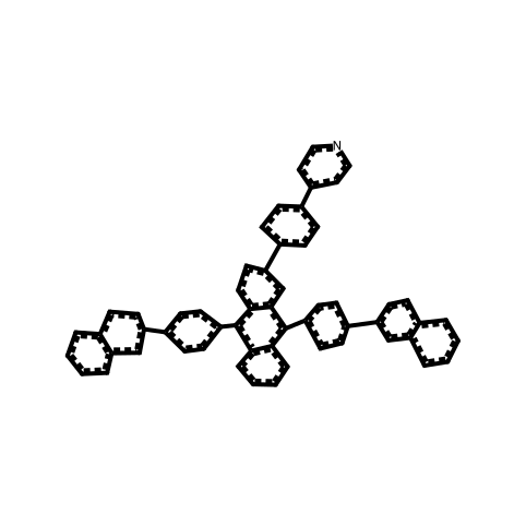 c1ccc2cc(-c3ccc(-c4c5ccccc5c(-c5ccc(-c6ccc7ccccc7c6)cc5)c5cc(-c6ccc(-c7ccncc7)cc6)ccc45)cc3)ccc2c1